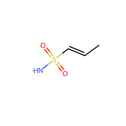 CC=CS([NH])(=O)=O